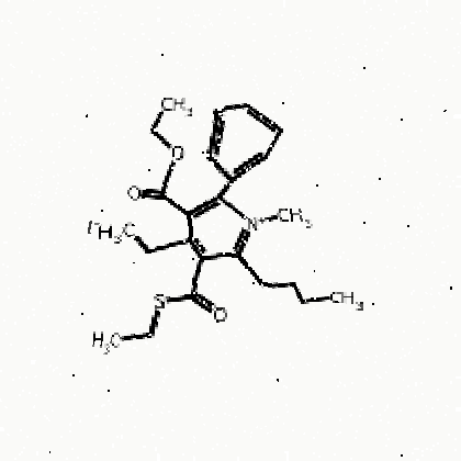 CCCCc1c(C(=O)SCC)c(CC)c(C(=O)OCC)c(-c2ccccc2)[n+]1C.[I-]